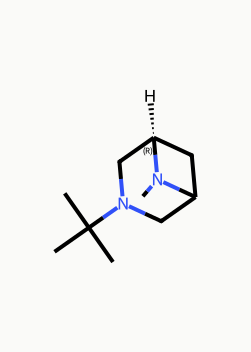 CN1C2C[C@@H]1CN(C(C)(C)C)C2